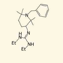 CCNC(=NC1CCC(C)(C)N(Cc2ccccc2)C1(C)C)NCC